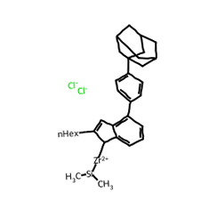 CCCCCCC1=Cc2c(-c3ccc(C45CC6CC(CC(C6)C4)C5)cc3)cccc2[CH]1[Zr+2][Si](C)C.[Cl-].[Cl-]